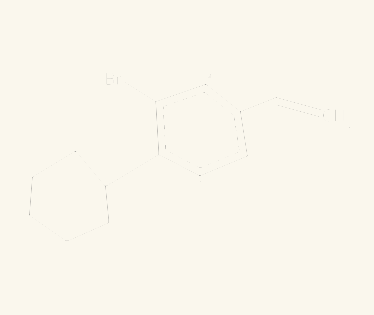 C=Cc1ccc(C2CCCCC2)c(Br)c1